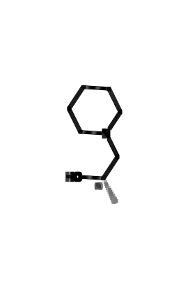 C[C@H](O)CN1CCCCC1